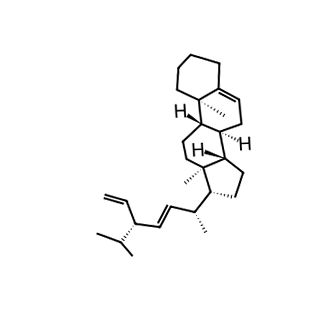 C=C[C@H](C=C[C@@H](C)[C@H]1CC[C@H]2[C@@H]3CC=C4CCCC[C@]4(C)[C@H]3CC[C@]12C)C(C)C